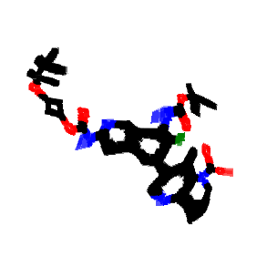 Cc1c(-c2cc3cc(NC(=O)OC4CC(O[Si](C)(C)C(C)(C)C)C4)ncc3c(NC(=O)OC(C)(C)C)c2F)cnc2c1N(C(=O)O)CC1CC21